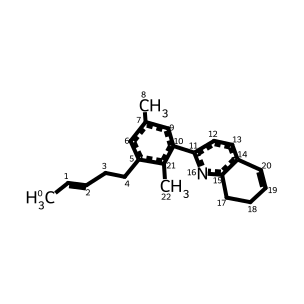 CC=CCCc1cc(C)cc(-c2ccc3c(n2)CCC=C3)c1C